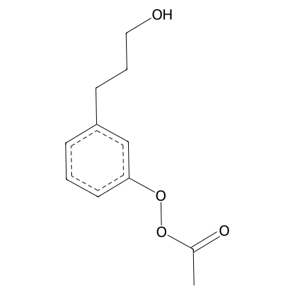 CC(=O)OOc1cccc(CCCO)c1